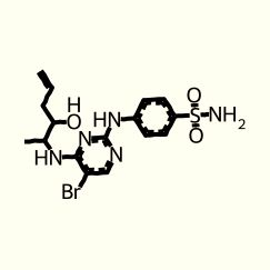 C=CCC(O)C(C)Nc1nc(Nc2ccc(S(N)(=O)=O)cc2)ncc1Br